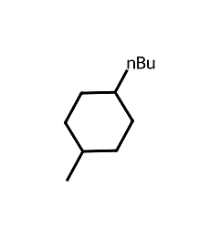 CCCCC1CCC(C)CC1